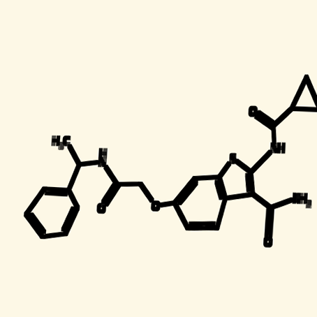 CC(NC(=O)COc1ccc2c(C(N)=O)c(NC(=O)C3CC3)sc2c1)c1ccccc1